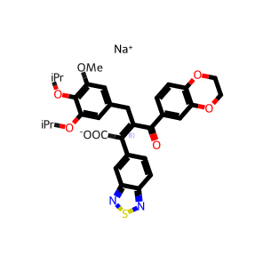 COc1cc(C/C(C(=O)c2ccc3c(c2)OCCO3)=C(\C(=O)[O-])c2ccc3nsnc3c2)cc(OC(C)C)c1OC(C)C.[Na+]